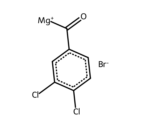 O=[C]([Mg+])c1ccc(Cl)c(Cl)c1.[Br-]